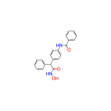 O=C(Nc1ccc(C(C(=O)NO)c2ccccc2)cc1)c1ccccc1